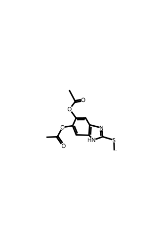 [CH2]Sc1nc2cc(OC(C)=O)c(OC(C)=O)cc2[nH]1